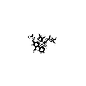 CC(=O)OCc1ccc(-c2ccccc2S(=O)(=O)N(COC(C)O[Si](C)(C)C)c2onc(C)c2C)c(C#N)c1